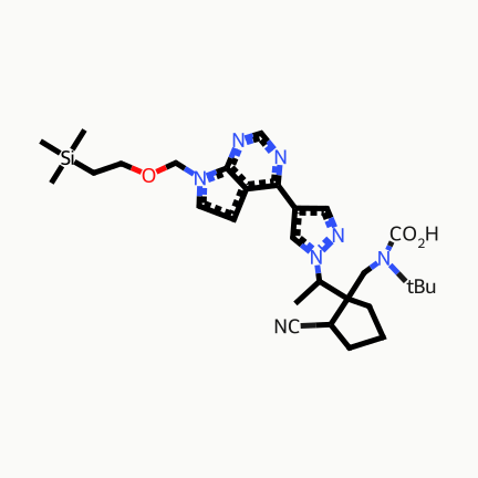 CC(n1cc(-c2ncnc3c2ccn3COCC[Si](C)(C)C)cn1)C1(CN(C(=O)O)C(C)(C)C)CCCC1C#N